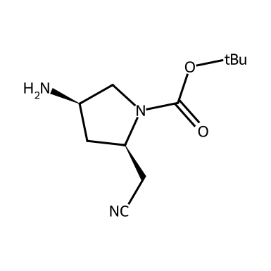 CC(C)(C)OC(=O)N1C[C@H](N)C[C@@H]1CC#N